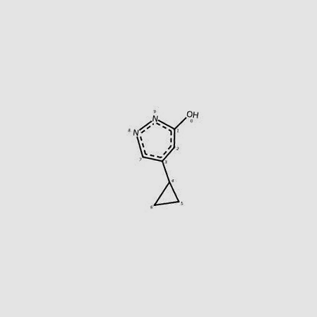 Oc1cc(C2CC2)cnn1